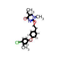 CCc1cn(C)c(OCCc2ccc(Oc3ccc(Cl)c(C)c3)cc2)nc1=O